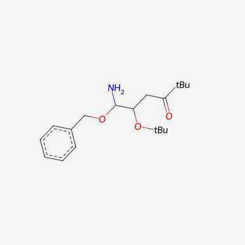 CC(C)(C)OC(CC(=O)C(C)(C)C)C(N)OCc1ccccc1